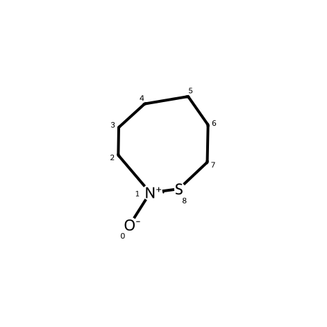 [O-][N+]1CCCCCCS1